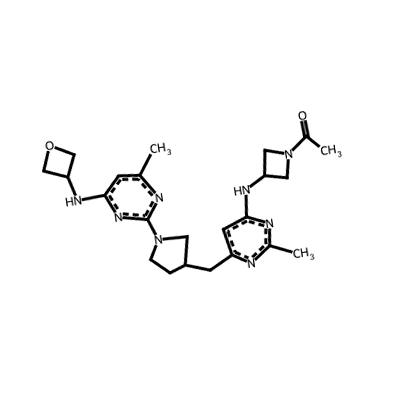 CC(=O)N1CC(Nc2cc(CC3CCN(c4nc(C)cc(NC5COC5)n4)C3)nc(C)n2)C1